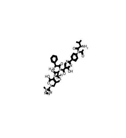 CC(=O)N(C(=O)[C@H](N)C(C)C)c1ccc(-c2ncc(C(=O)N(C(=O)C(N)c3ccccc3)C3C(=O)N4C(C(=O)O)=C(CSc5nnnn5C)CS[C@@H]34)c(O)n2)cc1